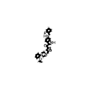 CC(C)Oc1ccccc1N1CCN(CC2CC(C(=O)C3CNc4cc(NCc5ccccc5F)ccc43)=NO2)CC1